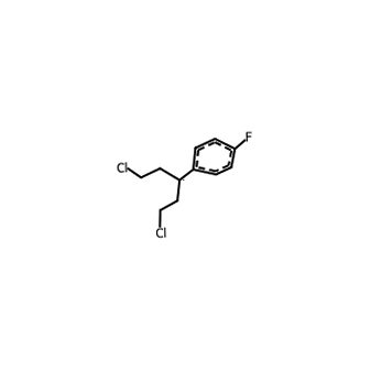 Fc1ccc([C](CCCl)CCCl)cc1